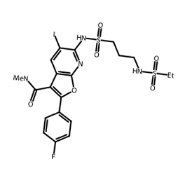 CCS(=O)(=O)NCCCS(=O)(=O)Nc1nc2oc(-c3ccc(F)cc3)c(C(=O)NC)c2cc1I